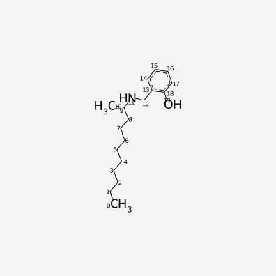 CCCCCCCCCC(C)NCc1ccccc1O